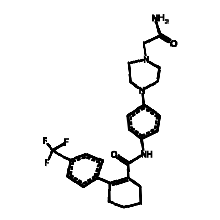 NC(=O)CN1CCN(c2ccc(NC(=O)C3=C(c4ccc(C(F)(F)F)cc4)CCCC3)cc2)CC1